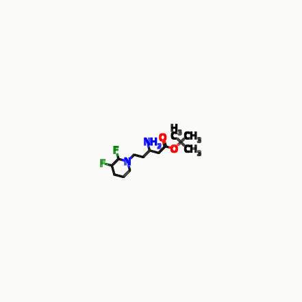 CC(C)(C)OC(=O)CC(N)CCN1CCCC(F)C1F